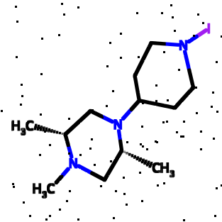 C[C@@H]1CN(C2CCN(I)CC2)[C@H](C)CN1C